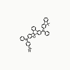 C[SiH](C)c1ccc(N(c2ccccc2)c2ccc3c(c2)oc2c4ccc(N(c5ccccc5)c5ccc6c(c5)C(C)(C)c5ccccc5-6)cc4c4ccccc4c32)cc1